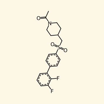 CC(=O)N1CCC(CS(=O)(=O)c2ccc(-c3cccc(F)c3F)cc2)CC1